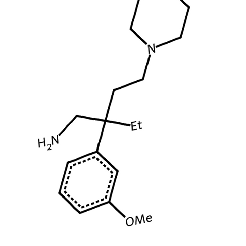 CCC(CN)(CCN1CCCCC1)c1cccc(OC)c1